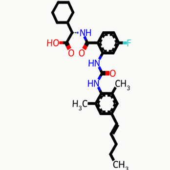 CCCC=Cc1cc(C)c(NC(=O)Nc2cc(F)ccc2C(=O)N[C@H](C(=O)O)C2CCCCC2)c(C)c1